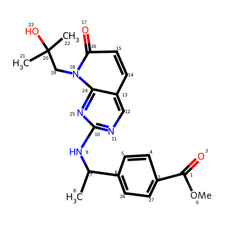 COC(=O)c1ccc(C(C)Nc2ncc3ccc(=O)n(CC(C)(C)O)c3n2)cc1